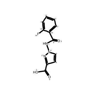 O=C(O)c1ccn(NC(=O)c2ccccc2F)n1